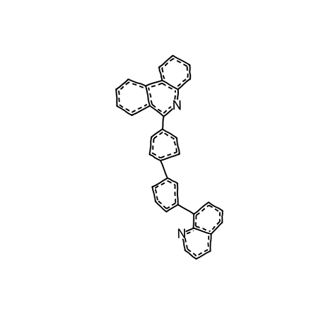 c1cc(-c2ccc(-c3nc4ccccc4c4ccccc34)cc2)cc(-c2cccc3cccnc23)c1